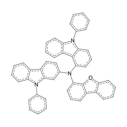 c1ccc(-n2c3ccccc3c3ccc(N(c4cccc5c4oc4ccccc45)c4cccc5c4c4ccccc4n5-c4ccccc4)cc32)cc1